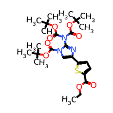 CCOC(=O)c1ccc(-c2cn(C(=O)OC(C)(C)C)c(N(C(=O)OC(C)(C)C)C(=O)OC(C)(C)C)n2)s1